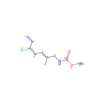 C=N/C(Cl)=N\C=C(/C)CNC(=O)OC(C)(C)C